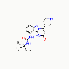 CC(C)(C)NC(=O)Nc1cccc2nn3c(C4CCNCC4)cc(=O)[nH]c3c12